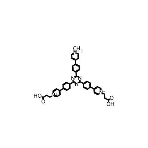 C[n+]1ccc(-c2ccc(-c3nc(-c4ccc(-c5cc[n+](CCC(=O)O)cc5)cc4)nc(-c4ccc(-c5cc[n+](CCC(=O)O)cc5)cc4)n3)cc2)cc1